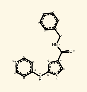 O=C(NCc1ccccc1)c1csc(Nc2ccncc2)n1